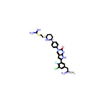 C[C@@H](N)Cc1cc(Cl)c(F)c(-c2cc3cn(-c4ccc([C@@H]5CCC[C@@H](CCSC(=N)N)N5)cc4)c(=O)nc3[nH]2)c1